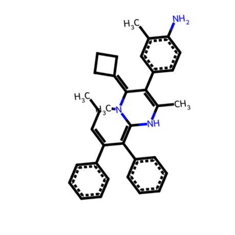 CC/C=C(\C(=C1\NC(C)=C(c2ccc(N)c(C)c2)C(=C2CCC2)N1C)c1ccccc1)c1ccccc1